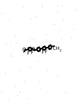 C=Cc1ccc(-c2ccc(-c3ccc(COc4ccc(C5CO5)c(F)c4F)cc3)c(F)c2F)cc1